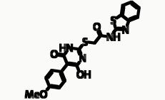 COc1ccc(-c2c(O)nc(SCC(=O)Nc3nc4ccccc4s3)[nH]c2=O)cc1